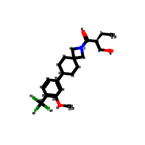 CC[C@H](CO)C(=O)N1CC2(CCC(c3ccc(C(F)(F)F)c(OC)c3)CC2)C1